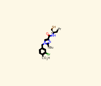 CCCCc1nc(C(=O)N[C@@H](CS)CC(C)C)cn1Cc1ccc(C(=O)O)c(Br)c1